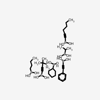 CC(C)(C)C#CB(O)O.CC(C)B(O)O.CCCCB(O)O.CCCCC#CB(O)O.OB(O)C#Cc1ccccc1.OB(O)C1CCCCC1